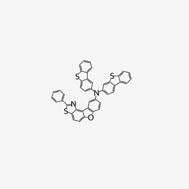 c1ccc(-c2nc3c(ccc4oc5ccc(N(c6ccc7c(c6)sc6ccccc67)c6ccc7sc8ccccc8c7c6)cc5c43)s2)cc1